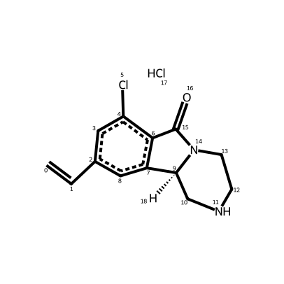 C=Cc1cc(Cl)c2c(c1)[C@@H]1CNCCN1C2=O.Cl